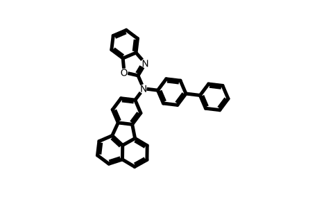 c1ccc(-c2ccc(N(c3ccc4c(c3)-c3cccc5cccc-4c35)c3nc4ccccc4o3)cc2)cc1